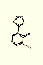 Nc1cccn(-c2ncco2)c1=O